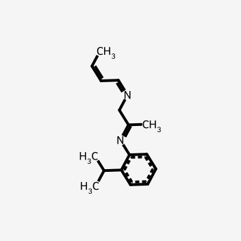 C/C=C\C=N/C/C(C)=N/c1ccccc1C(C)C